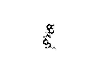 C[C@@H](O)Cc1cccc(NC(=O)N[C@H]2CCOc3c(Cl)cccc32)n1